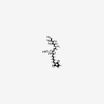 CN(C[C@H](O)C(O)[C@H](O)[C@H](O)CO)C(=O)CC[C@H](NC(=O)CCCCCN1C(=O)C=CC1=O)C(=O)O